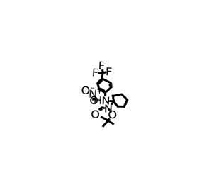 CC(C)(C)ON(C=O)C1(Nc2ccc(C(F)(F)F)cc2[N+](=O)[O-])CCCCC1